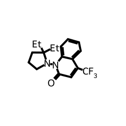 CCC1(CC)CCCN1n1c(=O)cc(C(F)(F)F)c2ccccc21